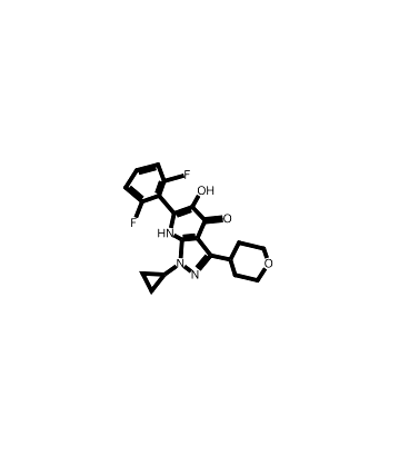 O=c1c(O)c(-c2c(F)cccc2F)[nH]c2c1c(C1CCOCC1)nn2C1CC1